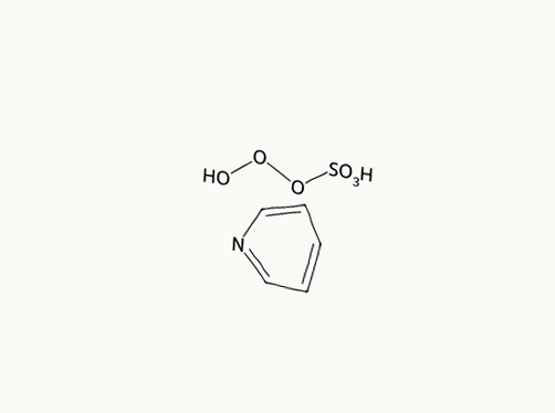 O=S(=O)(O)OOO.c1ccncc1